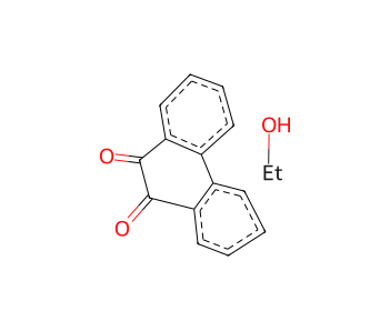 CCO.O=C1C(=O)c2ccccc2-c2ccccc21